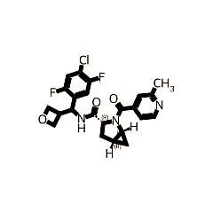 Cc1cc(C(=O)N2[C@@H](C(=O)NC(c3cc(F)c(Cl)cc3F)C3COC3)C[C@H]3C[C@H]32)ccn1